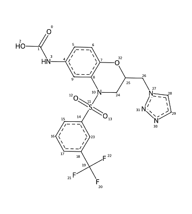 O=C(O)Nc1ccc2c(c1)N(S(=O)(=O)c1cccc(C(F)(F)F)c1)CC(Cn1ccnn1)O2